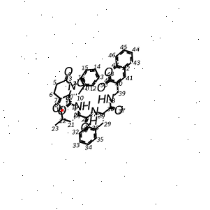 CON1C(=O)CCC(=O)[C@]1(Cc1ccccc1)C(=O)N[C@@H](CC(C)C)C(=O)N[C@@H](Cc1ccccc1)C(=O)NCc1cc2ccccc2oc1=O